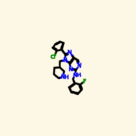 Fc1ccccc1CNc1ncc2nc(-c3ccccc3Cl)n(CC3CCCNC3)c2n1